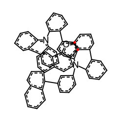 c1cc(-c2cccc3ccccc23)cc(N(c2ccc(-c3ccccc3-n3c4ccccc4c4ccccc43)cc2)c2ccccc2-c2cccc3oc4c5ccccc5ccc4c23)c1